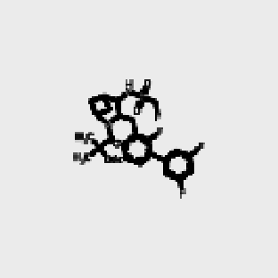 CC(=O)OC(C)(C)C(=O)N1C2CC(C2)C(NS(=O)(=O)CF)C1Cc1cccc(-c2cc(F)cc(F)c2)c1F